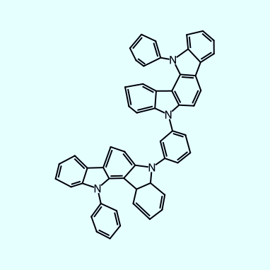 C1=CC2c3c(ccc4c5ccccc5n(-c5ccccc5)c34)N(c3cccc(-n4c5ccccc5c5c4ccc4c6ccccc6n(-c6ccccc6)c45)c3)C2C=C1